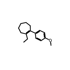 CCC1=C(c2ccc(OC)cc2)CCCCC1